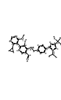 COc1ncnc(C2CC2)c1-c1ncc(C=O)c(NCc2ccc(-c3nc(C(F)(F)F)cn3C(C)C)cc2)c1F